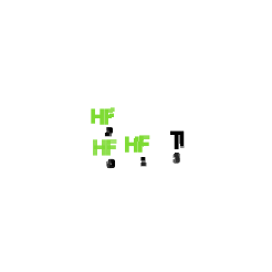 F.F.F.[Ti]